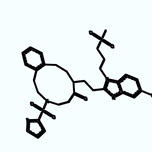 CS(=O)(=O)CCCn1c(CCC2CCc3ccccc3CCN(S(=O)(=O)c3cccs3)CCC2=O)nc2cc(Cl)ccc21